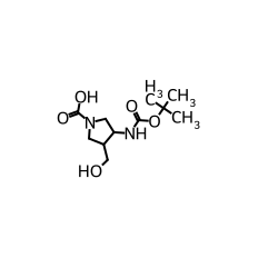 CC(C)(C)OC(=O)NC1CN(C(=O)O)CC1CO